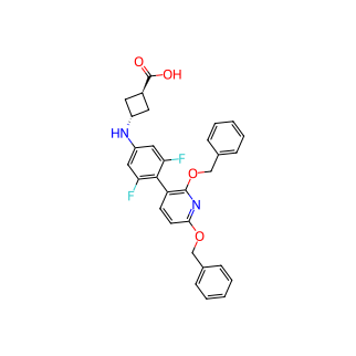 O=C(O)[C@H]1C[C@H](Nc2cc(F)c(-c3ccc(OCc4ccccc4)nc3OCc3ccccc3)c(F)c2)C1